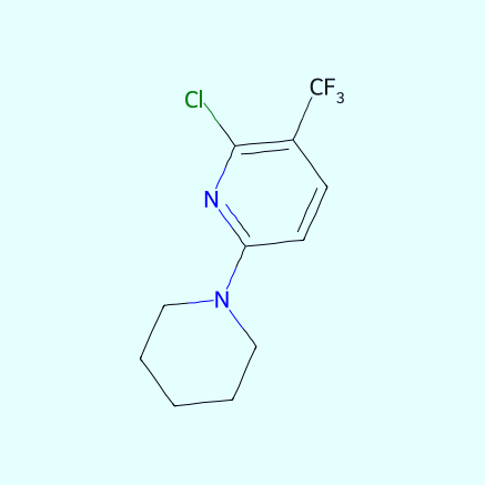 FC(F)(F)c1ccc(N2CCCCC2)nc1Cl